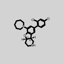 Clc1ccc(-c2cc3c(c(N4CCCCCC4)c2)O[C@H]2CCNC[C@@H]32)c(Cl)c1